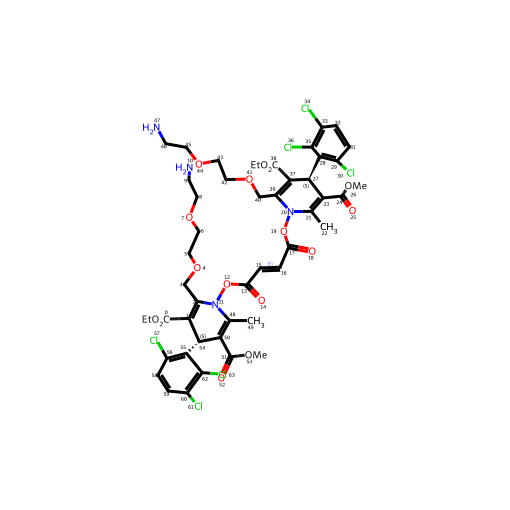 CCOC(=O)C1=C(COCCOCCN)N(OC(=O)/C=C/C(=O)ON2C(C)=C(C(=O)OC)[C@H](c3c(Cl)ccc(Cl)c3Cl)C(C(=O)OCC)=C2COCCOCCN)C(C)=C(C(=O)OC)[C@@H]1c1c(Cl)ccc(Cl)c1Cl